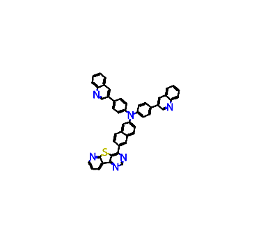 c1ccc2ncc(-c3ccc(N(c4ccc(-c5cnc6ccccc6c5)cc4)c4ccc5cc(-c6ncnc7c6sc6ncccc67)ccc5c4)cc3)cc2c1